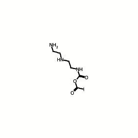 NCCNCCNC(=O)OC(=O)I